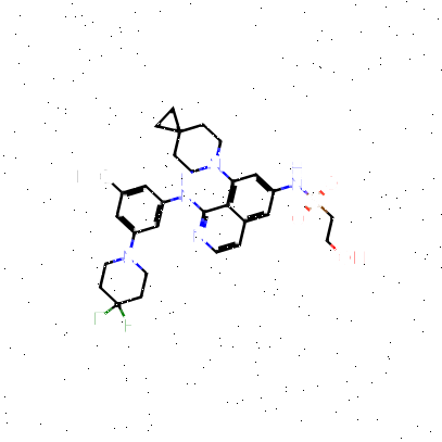 Cc1cc(Nc2nccc3cc(NS(=O)(=O)CCO)cc(N4CCC5(CC4)CC5)c23)cc(N2CCC(F)(F)CC2)c1